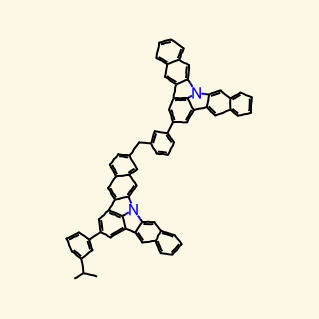 CC(C)c1cccc(-c2cc3c4cc5ccccc5cc4n4c5cc6cc(Cc7cccc(-c8cc9c%10cc%11ccccc%11cc%10n%10c%11cc%12ccccc%12cc%11c(c8)c9%10)c7)ccc6cc5c(c2)c34)c1